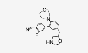 N#Cc1ccc(-c2cc(CC3CNCCO3)ccc2N2CCCOCC2)cc1F